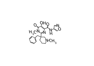 CN1CCCC(Cc2ccccc2)(c2nc(C(=O)Nc3cnoc3)c(O)c(=O)n2C)C1